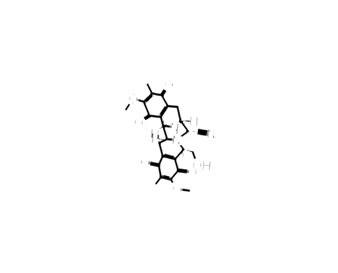 COC1=C(C)C(=O)C2=C(C1=O)[C@H]1[C@@H]3CC4=C(C(=O)C(OC)=C(C)C4=O)[C@H](CO)N3[C@@H](C#N)[C@@H](C2)N1C